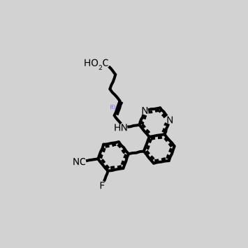 N#Cc1ccc(-c2cccc3ncnc(N/C=C/CCC(=O)O)c23)cc1F